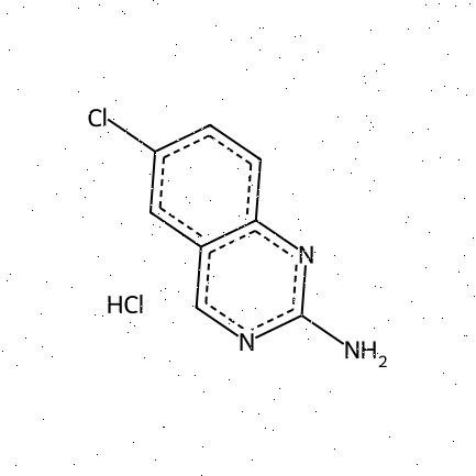 Cl.Nc1ncc2cc(Cl)ccc2n1